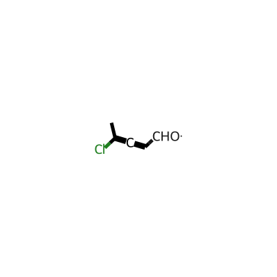 CC(Cl)=C=C[C]=O